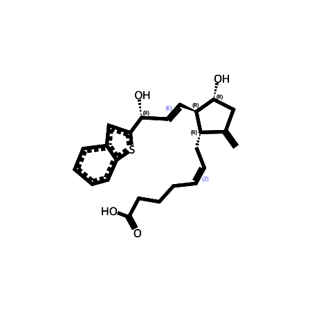 C=C1C[C@@H](O)[C@H](/C=C/[C@@H](O)c2cc3ccccc3s2)[C@H]1C/C=C\CCCC(=O)O